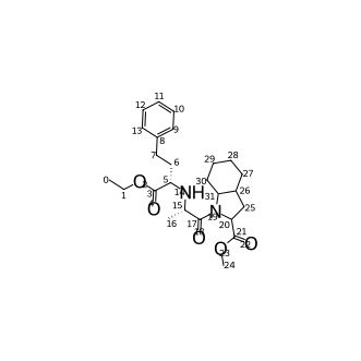 CCOC(=O)[C@H](CCc1ccccc1)N[C@@H](C)C(=O)N1C(C(=O)OC)CC2CCCCC21